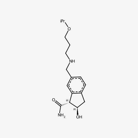 CC(C)OCCCNCc1ccc2c(c1)[C@@H](C(N)=O)[C@H](O)C2